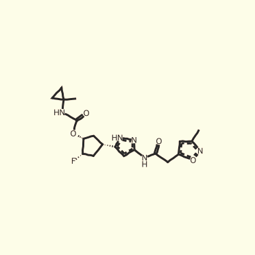 Cc1cc(CC(=O)Nc2cc([C@@H]3C[C@H](F)[C@H](OC(=O)NC4(C)CC4)C3)[nH]n2)on1